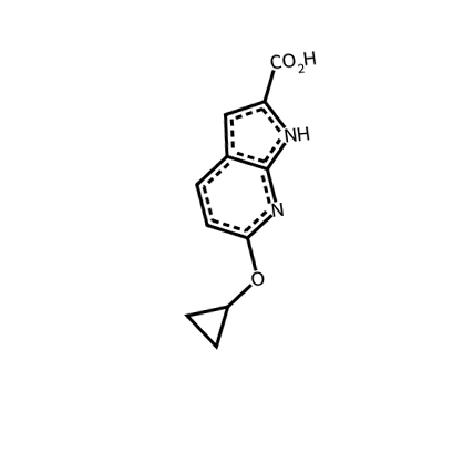 O=C(O)c1cc2ccc(OC3CC3)nc2[nH]1